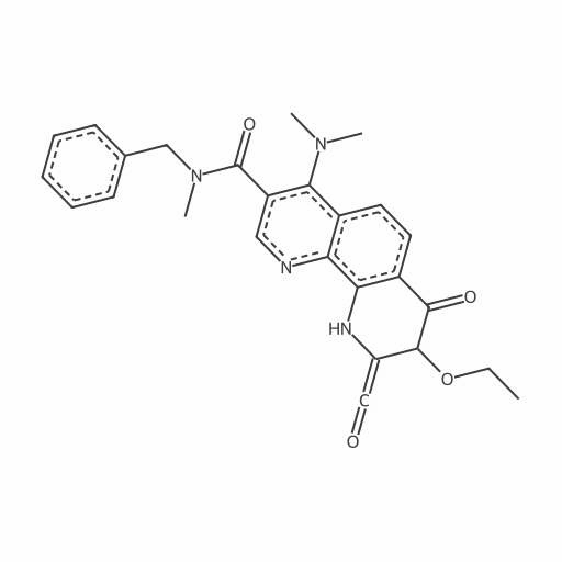 CCOC1C(=O)c2ccc3c(N(C)C)c(C(=O)N(C)Cc4ccccc4)cnc3c2NC1=C=O